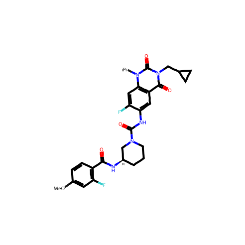 COc1ccc(C(=O)N[C@@H]2CCCN(C(=O)Nc3cc4c(=O)n(CC5CC5)c(=O)n(C(C)C)c4cc3F)C2)c(F)c1